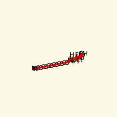 CCc1c2c(nc3ccc(OCC(=O)N/N=C(\C)c4ccc(OCCOCCOCCOCCOCCOCCOCCOCCOCCOCCOCCOCCN=[N+]=[N-])cc4)cc13)-c1cc3c(c(=O)n1C2)COC(=O)[C@]3(O)CC